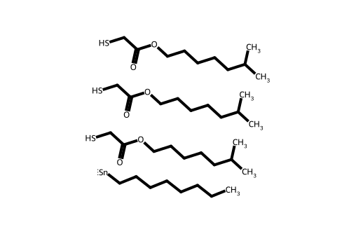 CC(C)CCCCCOC(=O)CS.CC(C)CCCCCOC(=O)CS.CC(C)CCCCCOC(=O)CS.CCCCCCC[CH2][Sn]